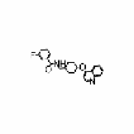 O=C(NCC1CCC(Oc2ccnc3ccccc23)CC1)c1cccc(F)c1